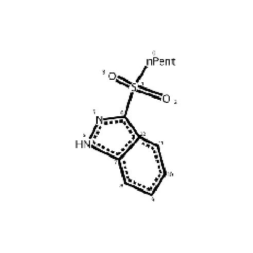 CCCCCS(=O)(=O)c1n[nH]c2ccccc12